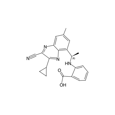 Cc1cc([C@@H](C)Nc2ccccc2C(=O)O)c2nc(C3CC3)c(C#N)nc2c1